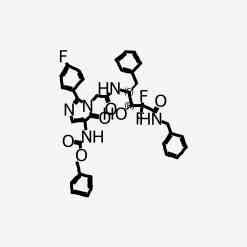 O=C(Cn1c(-c2ccc(F)cc2)ncc(NC(=O)OCc2ccccc2)c1=O)N[C@@H](Cc1ccccc1)[C@@H](O)C(F)(F)C(=O)NCc1ccccc1